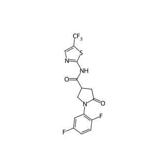 O=C(Nc1ncc(C(F)(F)F)s1)C1CC(=O)N(c2cc(F)ccc2F)C1